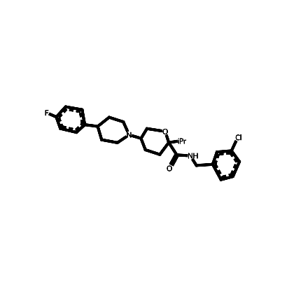 CC(C)C1(C(=O)NCc2cccc(Cl)c2)CCC(N2CCC(c3ccc(F)cc3)CC2)CO1